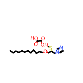 CCCCCCCCCCCCOCC(Cn1ccnc1)SC.O=C(O)C(=O)O